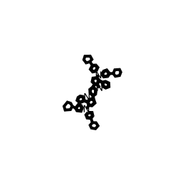 c1ccc2c(c1)c1c(N(c3ccc(C4CCCCC4)cc3)c3ccc(C4CCCCC4)cc3)ccc3c4cc5c(cc4n2c31)c1ccc(N(c2ccc(C3CCCCC3)cc2)c2ccc(C3CCCCC3)cc2)c2c3ccccc3n5c12